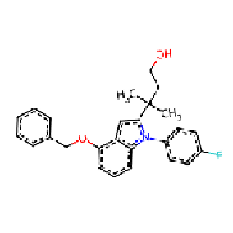 CC(C)(CCO)c1cc2c(OCc3ccccc3)cccc2n1-c1ccc(F)cc1